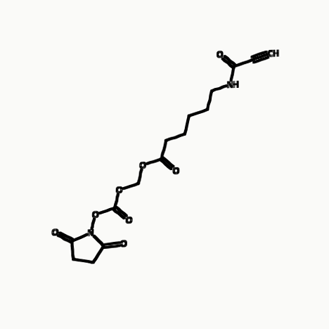 C#CC(=O)NCCCCCC(=O)OCOC(=O)ON1C(=O)CCC1=O